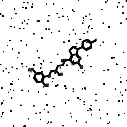 [C-]#[N+]c1ccc(N)cc1OCC(O)CCNc1nc(Cl)nc2c1CCC2c1ccc(F)cc1